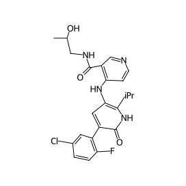 CC(O)CNC(=O)c1cnccc1Nc1cc(-c2cc(Cl)ccc2F)c(=O)[nH]c1C(C)C